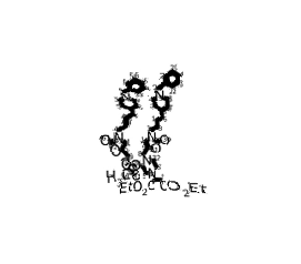 CCOC(=O)CC(C(=O)OCC)N1CCN(CC2CN(CCCCC3CCN(Cc4ccccc4)CC3)C(=O)O2)CC1.CS(=O)(=O)OCC1CN(CCCCC2CCN(Cc3ccccc3)CC2)C(=O)O1